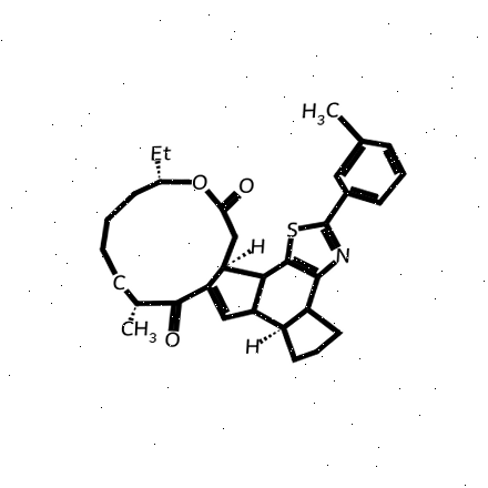 CC[C@H]1CCCC[C@@H](C)C(=O)C2=CC3C(c4sc(-c5cccc(C)c5)nc4C4CCC[C@H]43)[C@@H]2CC(=O)O1